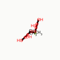 CC(C)(CCCOCC(O)COCCCCO)OCCCC(C)(F)OCCCOCC(O)COCCCCO